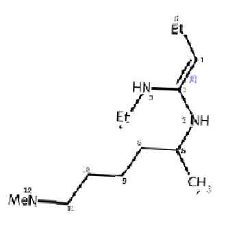 CC/C=C(\NCC)NC(C)CCCCNC